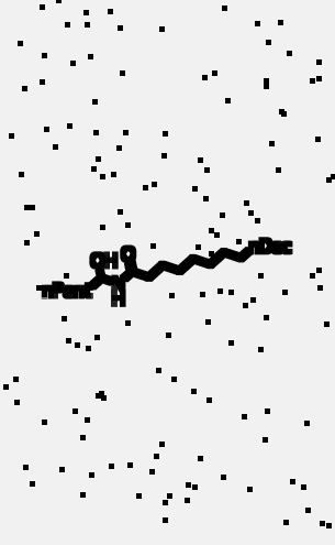 CCCCCCCCCCCCCCCCCC(=O)NC(O)CCCCC